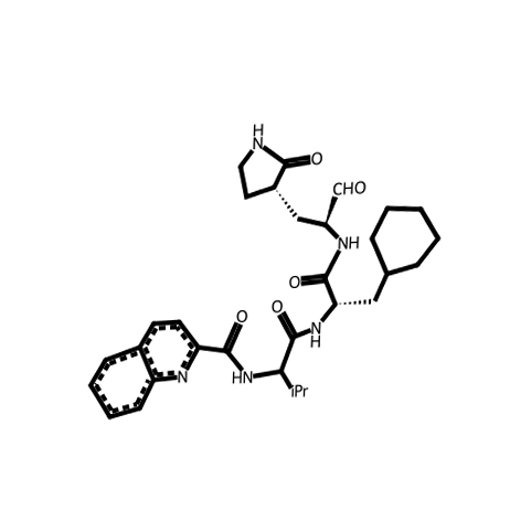 CC(C)C(NC(=O)c1ccc2ccccc2n1)C(=O)N[C@@H](CC1CCCCC1)C(=O)N[C@H](C=O)C[C@@H]1CCNC1=O